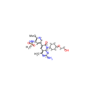 COc1ncc(-c2cc3c(C)nc(N)nc3n(C3CCC(OCCO)CC3)c2=O)cc1NS(C)(=O)=O